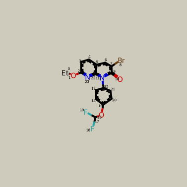 CCOc1ccc2cc(Br)c(=O)n(-c3ccc(OC(F)F)cc3)c2n1